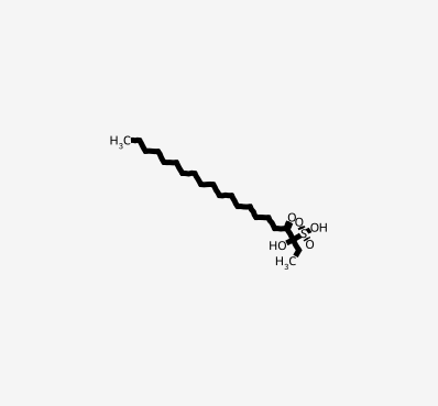 CCCCCCCCCCCCCCCCCC(=O)C(O)(CC)S(=O)(=O)O